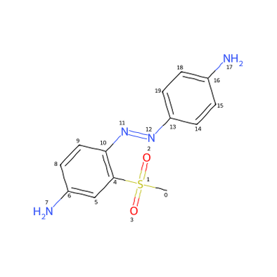 CS(=O)(=O)c1cc(N)ccc1/N=N/c1ccc(N)cc1